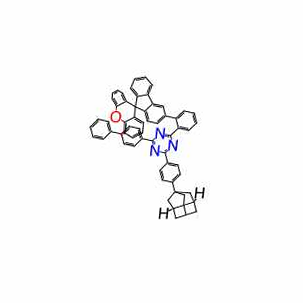 c1ccc(-c2ccc(-c3nc(-c4ccc(C56C[C@H]7CC8C[C@@H](C5)C87C6)cc4)nc(-c4ccccc4-c4ccc5c(c4)-c4ccccc4C54c5ccccc5Oc5ccccc54)n3)cc2)cc1